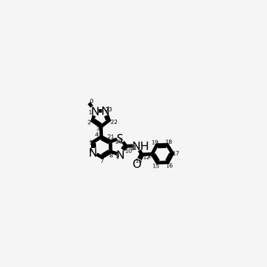 Cn1cc(-c2cncc3nc(NC(=O)c4ccccc4)sc23)cn1